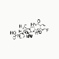 CC(C)c1cc2c(cc1S(=O)(=O)NC1CCN(C(=O)O)CC1)S(=O)(=O)c1cc(F)ccc1C(=O)N2